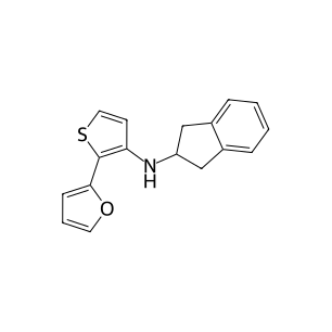 c1coc(-c2sccc2NC2Cc3ccccc3C2)c1